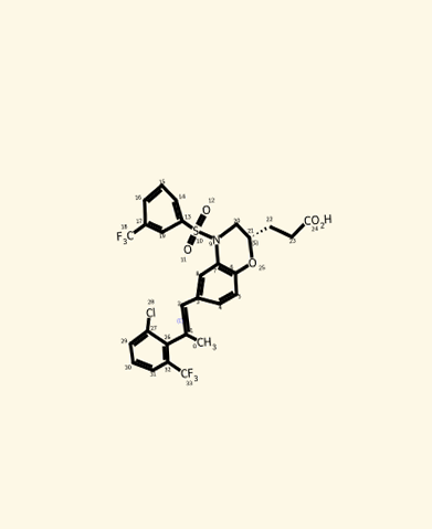 C/C(=C\c1ccc2c(c1)N(S(=O)(=O)c1cccc(C(F)(F)F)c1)C[C@H](CCC(=O)O)O2)c1c(Cl)cccc1C(F)(F)F